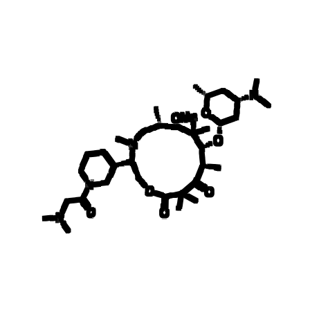 CO[C@]1(C)C[C@@H](C)CN(C)C([C@@H]2CCCN(C(=O)CN(C)C)C2)COC(=O)C(C)(C)C(=O)[C@H](C)[C@H]1O[C@H]1C[C@@H](N(C)C)C[C@@H](C)O1